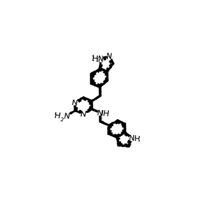 Nc1ncc(Cc2ccc3[nH]ncc3c2)c(NCc2ccc3[nH]ccc3c2)n1